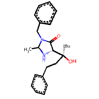 CC1N[C@@H]([C@@](O)(CCc2ccccc2)C(C)(C)C)C(=O)N1Cc1ccccc1